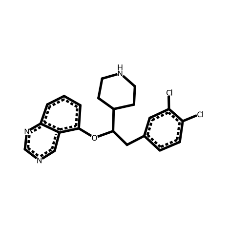 Clc1ccc(CC(Oc2cccc3ncncc23)C2CCNCC2)cc1Cl